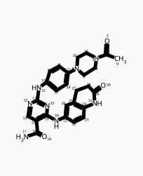 CC(=O)N1CCN(c2ccc(Nc3ncc(C(N)=O)c(Nc4ccc5c(c4)CCC(=O)N5)n3)cc2)CC1